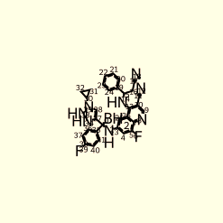 BC(Nc1cc(F)c2ncc(C#N)c(NC(CC#N)c3ccccc3)c2c1)(C1=CN(C2CC2)NN1)c1ccc(F)cc1